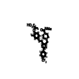 CNC(=O)N1CCN(Cc2nc(-c3ccc(C(F)(F)F)cc3)sc2CSc2ccc(OC(C)C(=O)O)c(C)c2)CC1